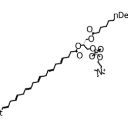 CC/C=C/C/C=C/C/C=C/C/C=C/C/C=C/C/C=C/CCC(=O)O[C@H](COC(=O)CCCCCCCCCCCCCCC)COP(=O)([O-])OCC[N+](C)(C)C